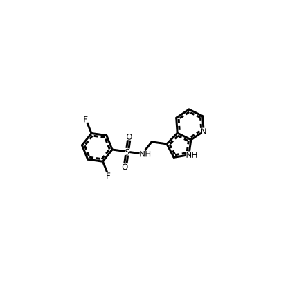 O=S(=O)(NCc1c[nH]c2ncccc12)c1cc(F)ccc1F